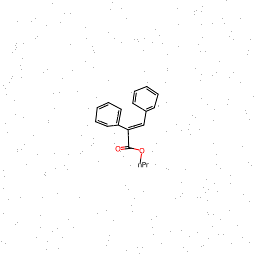 CCCOC(=O)C(=Cc1ccccc1)c1ccccc1